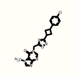 Cn1cnc2ncn(Cc3nc(C4CC(c5ccc(Cl)cc5)C4)no3)c(=O)c21